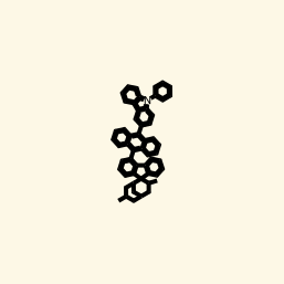 CC1CC2CC(C)C3(c4ccccc4-c4c(-c5c6ccccc6c(-c6ccc7c(c6)c6ccccc6n7-c6ccccc6)c6ccccc56)cccc43)C(C1)C2